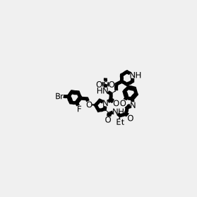 CC[C@H](NC(=O)[C@@H]1C[C@@H](OCc2ccc(Br)cc2F)CN1C(=O)[C@@H](CCC1CCNCC1)NS(C)(=O)=O)C(=O)c1nc2ccccc2o1